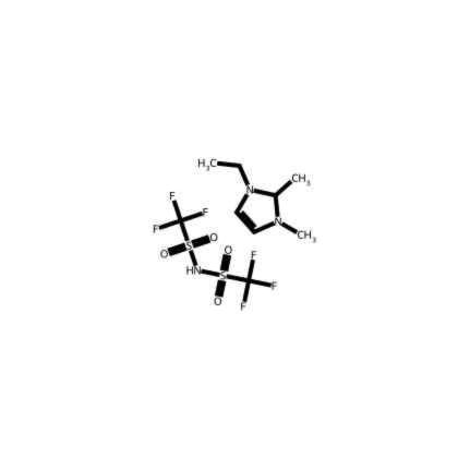 CCN1C=CN(C)C1C.O=S(=O)(NS(=O)(=O)C(F)(F)F)C(F)(F)F